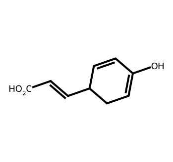 O=C(O)C=CC1C=CC(O)=CC1